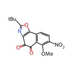 COc1c([N+](=O)[O-])ccc2c1C(=O)C(=O)c1nc(C(C)(C)C)oc1-2